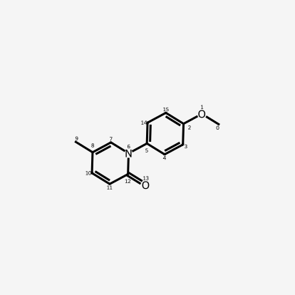 COc1ccc(-n2cc(C)ccc2=O)cc1